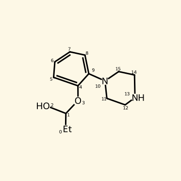 CCC(O)Oc1ccccc1N1CCNCC1